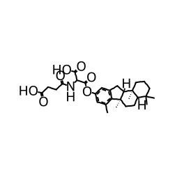 Cc1cc(OC(=O)C(NC(=O)CCC(=O)O)C(=O)O)cc2c1[C@]1(C)CC[C@H]3C(C)(C)CCC[C@]3(C)[C@H]1C2